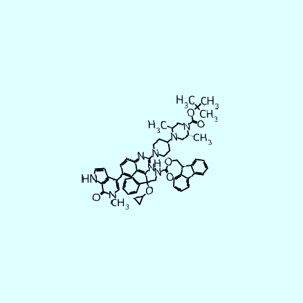 C[C@@H]1CN(C2CCN(c3nc(C(CNC(=O)OCC4c5ccccc5-c5ccccc54)(OC4CC4)c4ccccc4)c4cc(-c5cn(C)c(=O)c6[nH]ccc56)ccc4n3)CC2)[C@@H](C)CN1C(=O)OC(C)(C)C